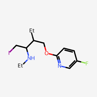 CCNC(CI)C(CC)COc1ccc(F)cn1